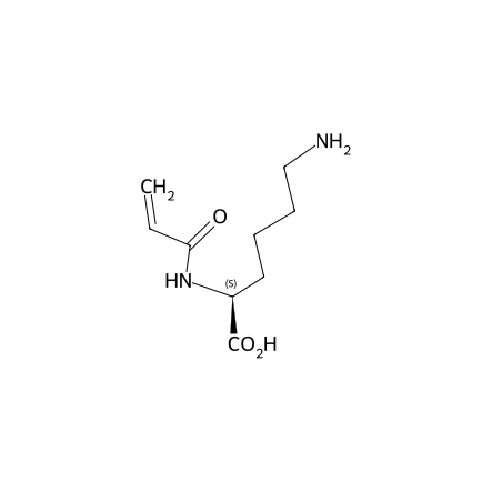 C=CC(=O)N[C@@H](CCCCN)C(=O)O